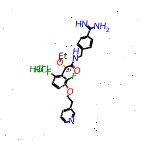 CCO[C@H](C(=O)NCc1ccc(C(=N)N)cc1)c1c(F)ccc(OCCc2cccnc2)c1F.Cl.Cl